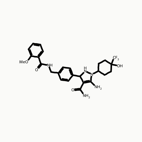 COc1ccccc1C(=O)NCc1ccc(C2NN(C3CCC(O)(C(F)(F)F)CC3)C(N)=C2C(N)=O)cc1